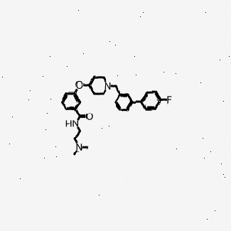 CN(C)CCNC(=O)c1cccc(OC2CCN(Cc3cccc(-c4ccc(F)cc4)c3)CC2)c1